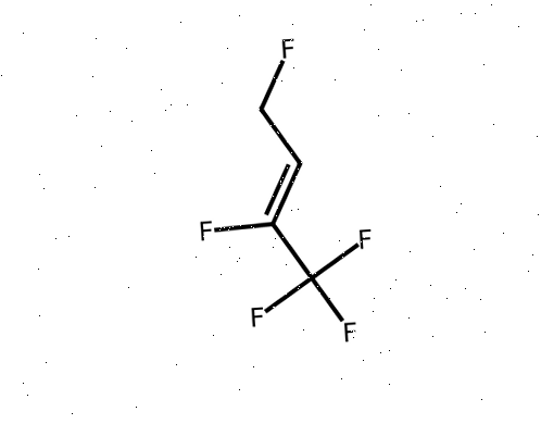 FCC=C(F)C(F)(F)F